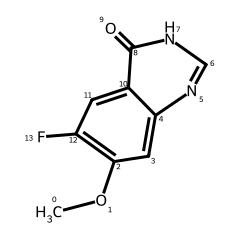 COc1cc2nc[nH]c(=O)c2cc1F